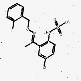 C/C(=N\OCc1ccccc1F)c1cc(Cl)ccc1NS(=O)(=O)C(F)(F)F